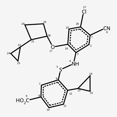 N#Cc1cc(NSc2cc(C(=O)O)ccc2C2CC2)c(OC2CCC2C2CC2)cc1Cl